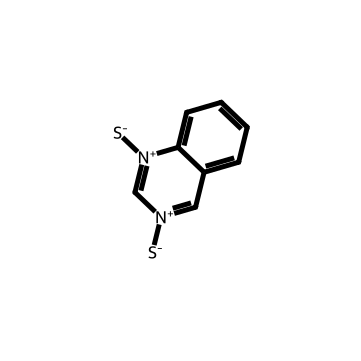 [S-][n+]1cc2ccccc2[n+]([S-])c1